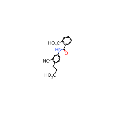 N#Cc1cc(NC(=O)c2ccccc2C(=O)O)ccc1CCC(=O)O